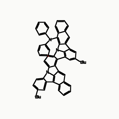 CC(C)(C)c1ccc2c(c1)c1c3ccccc3cc3c4c5c6cc(C(C)(C)C)cc7c8cc9ccccc9c(N(c9ccccc9)c9ccccc9)c8n(c5ccc4n2c31)c76